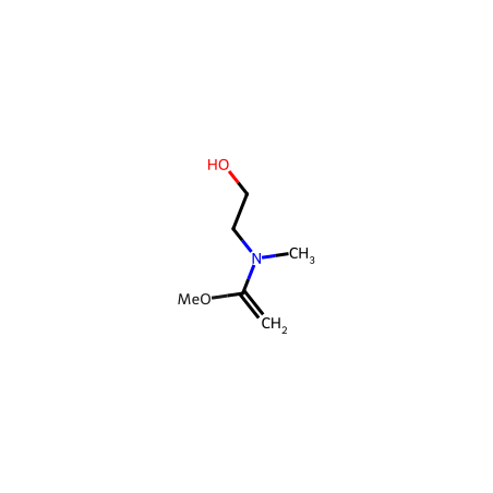 C=C(OC)N(C)CCO